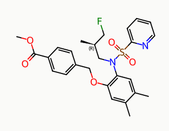 COC(=O)c1ccc(COc2cc(C)c(C)cc2N(C[C@@H](C)CF)S(=O)(=O)c2ccccn2)cc1